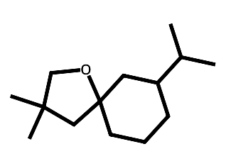 CC(C)C1CCCC2(C1)CC(C)(C)CO2